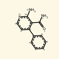 NC(=O)c1c(-c2ccccc2)ccnc1N